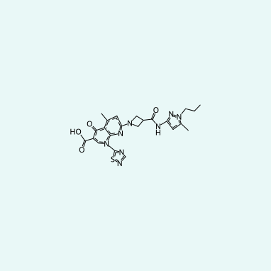 CCCn1nc(NC(=O)C2CN(c3cc(C)c4c(=O)c(C(=O)O)cn(-c5ncns5)c4n3)C2)cc1C